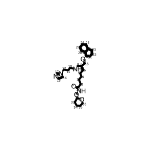 O=C(CCCCC=C(CNCCCn1ccnc1)COc1cccc2ccccc12)NOC1CCCCO1